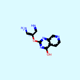 N=C/C(=C\N)Oc1nc(O)c2ccncc2n1